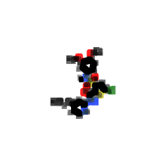 CCOc1ccc(N(C)S(=O)(=O)c2cc(Cl)sc2C(=O)Nc2cc(C(=O)O)ccn2)cc1OCC